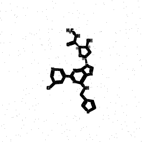 CNC(=O)[C@H]1O[C@@H](n2cnc3c(NCc4ccsc4)nc(-c4cncc(Cl)c4)nc32)C[C@@H]1O